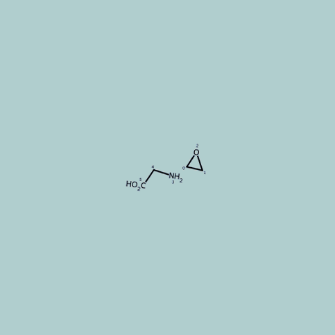 C1CO1.NCC(=O)O